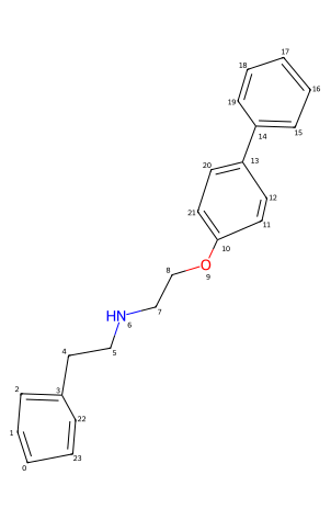 c1ccc(CCNCCOc2ccc(-c3ccccc3)cc2)cc1